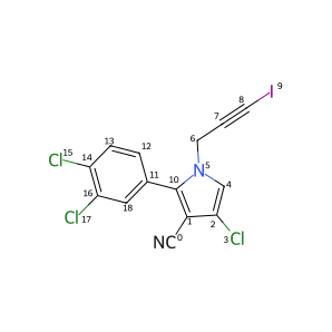 N#Cc1c(Cl)cn(CC#CI)c1-c1ccc(Cl)c(Cl)c1